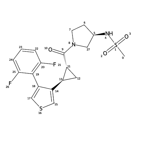 CS(=O)(=O)N[C@@H]1CCN(C(=O)[C@@H]2C[C@H]2c2cscc2-c2c(F)cccc2F)C1